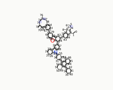 C=CC1=C(/C=C\C)C(C)(C)c2cc(-c3cc(-c4ccc5c(c4)c4ccccc4n5C4=CC=C(c5c6c(c(-c7ccccc7)c7ccccc57)CCC=C6)C(C)C4)c4oc5ccc(-c6ccc7c(c6)C(C)(C)C(=C)/C=C\C(C)=C/C7)cc5c4c3)ccc21